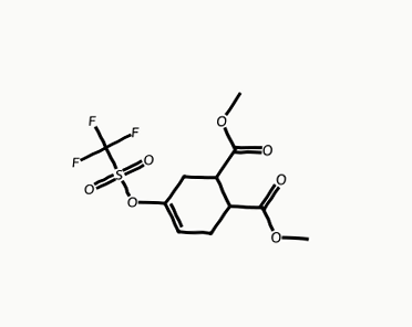 COC(=O)C1CC=C(OS(=O)(=O)C(F)(F)F)CC1C(=O)OC